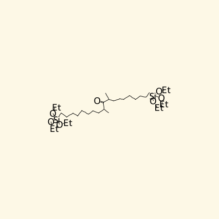 CCO[Si](CCCCCCCCC(C)C(=O)C(C)CCCCCCCC[Si](OCC)(OCC)OCC)(OCC)OCC